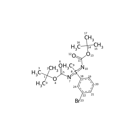 CC(C)(C)OC(=O)N=S(C)(=NC(=O)OC(C)(C)C)c1cccc(Br)c1